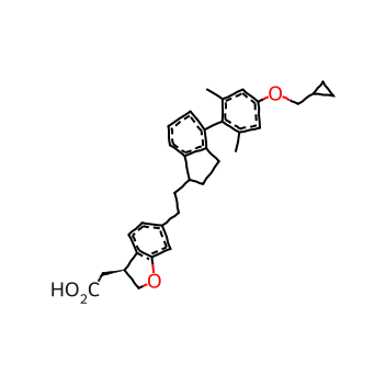 Cc1cc(OCC2CC2)cc(C)c1-c1cccc2c1CCC2CCc1ccc2c(c1)OC[C@H]2CC(=O)O